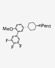 CCCCC[C@H]1CC[C@H](c2ccc(OC)c(-c3cc(F)c(F)c(F)c3)c2)CC1